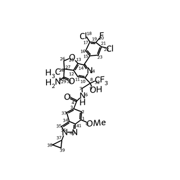 COc1cc(C(=O)NCC(O)(c2cc3c(c(-c4cc(Cl)c(F)c(Cl)c4)n2)OC[C@]3(C)C(N)=O)C(F)(F)F)cc2cn(C3CC3)nc12